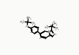 CC(C)(P)Oc1ccc(-c2ccc3cnc(C(C)(P)P)n3c2)cc1